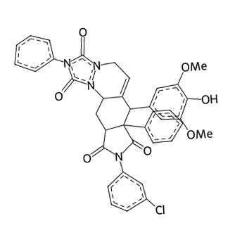 COc1cc(C2C3=CCn4c(=O)n(-c5ccccc5)c(=O)n4C3CC3C(=O)N(c4cccc(Cl)c4)C(=O)C32c2ccccc2)cc(OC)c1O